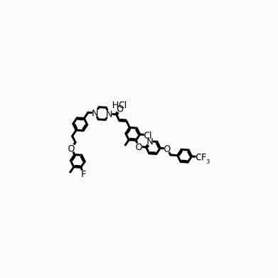 Cc1cc(OCCc2ccc(CN3CCN(C(=O)C=Cc4cc(C)c(Oc5ccc(OCc6ccc(C(F)(F)F)cc6)cn5)c(Cl)c4)CC3)cc2)ccc1F.Cl